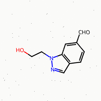 O=Cc1ccc2cnn(CCO)c2c1